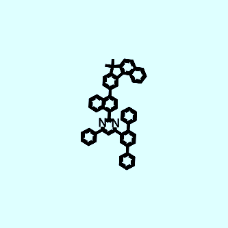 CC1(C)c2ccc(-c3ccc(-c4nc(-c5ccccc5)cc(-c5cc(-c6ccccc6)ccc5-c5ccccc5)n4)c4ccccc34)cc2-c2c1ccc1ccccc21